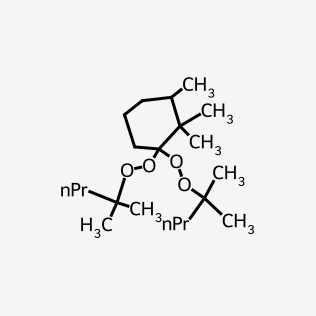 CCCC(C)(C)OOC1(OOC(C)(C)CCC)CCCC(C)C1(C)C